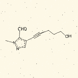 Cn1ncc(C#CCCCO)c1C=O